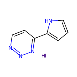 I.c1c[nH]c(-c2ccnnn2)c1